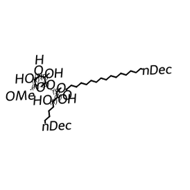 CCCCCCCCCCCCCCCCCCCCCCCCCC(=O)O[C@@H](CO[C@H]1O[C@H](COC)[C@H](O)[C@H](O)[C@H]1O)[C@H](O)[C@H](O)CCCCCCCCCCCCCC